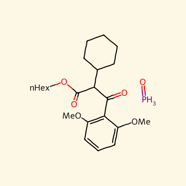 CCCCCCOC(=O)C(C(=O)c1c(OC)cccc1OC)C1CCCCC1.O=[PH3]